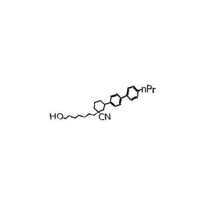 CCCc1ccc(-c2ccc(C3CCCC(C#N)(CCCCCCCO)C3)cc2)cc1